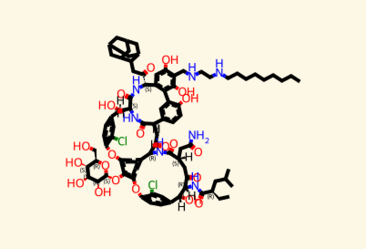 CCCCCCCCCNCCNCc1c(O)cc2c(c1O)-c1cc(ccc1O)[C@H]1CC(=O)[C@@H]3NC(=O)[C@H](CC(N)=O)CC(=O)[C@H](NC(=O)[C@H](CC)CC(C)C)[C@H](O)c4ccc(c(Cl)c4)Oc4cc3cc(c4O[C@@H]3O[C@H](CO)[C@@H](O)[C@H](O)[C@H]3O)Oc3ccc(cc3Cl)[C@@H](O)[C@H](NC1=O)C(=O)N[C@@H]2C(=O)CC1C2CC3CC(C2)CC1C3